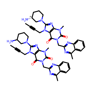 CC#CCn1c(N2CCCC(N)C2)nc2c1c(=O)n(Cc1nc(C)c3ccccc3n1)c(=O)n2C.CC#CCn1c(N2CCC[C@@H](N)C2)nc2c1c(=O)n(Cc1nc(C)c3ccccc3n1)c(=O)n2C